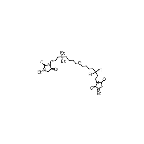 CCN1CC(=O)N(CCCC(CC)(CC)CCCCOCCCCC(CC)(CC)CCN2C(=O)CN(CC)C2=O)C1=O